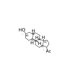 CC(=O)C1CC[C@H]2[C@@H]3CC[C@H]4C[C@](C)(O)CC[C@@H]4[C@H]3CC[C@]12C